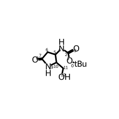 CC(C)(C)OC(=O)NC1CC(=O)NC1CO